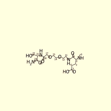 CNC(CCC(=O)O)C(=O)NCCOCCOCC(=O)NC(CO)C(N)=O